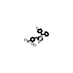 CCOc1ccc(CC2(C)CN(C(c3ccccc3)c3ccc(F)cc3)CCN2C)cc1OCC